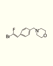 F/C(Br)=C\c1ccc(CN2CCOCC2)cc1